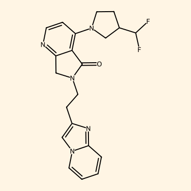 O=C1c2c(N3CCC(C(F)F)C3)ccnc2CN1CCc1cn2ccccc2n1